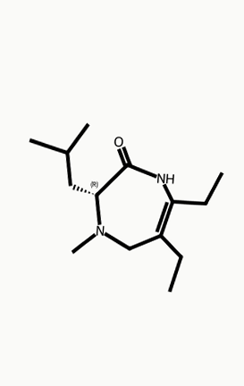 CCC1=C(CC)NC(=O)[C@@H](CC(C)C)N(C)C1